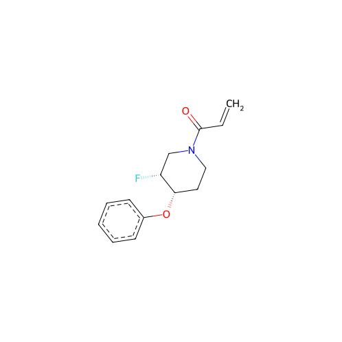 C=CC(=O)N1CC[C@H](Oc2ccccc2)[C@H](F)C1